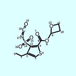 CCc1csc(C(=O)OC2CCO2)c1S(=O)(=O)N=C=O